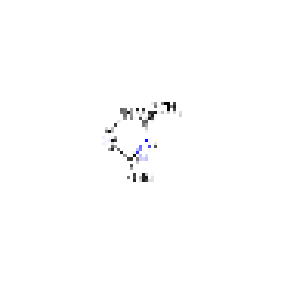 C=C/N=C(\C=C/NC)C(C)(C)C